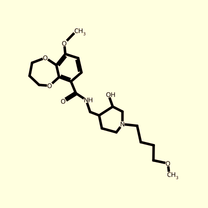 COCCCCN1CCC(CNC(=O)c2ccc(OC)c3c2OCCCO3)C(O)C1